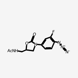 CC(=O)NCC1CN(c2ccc(N=[N+]=[N-])c(F)c2)C(=O)O1